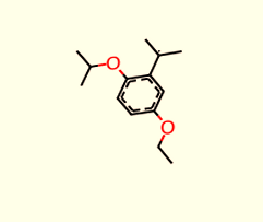 CCOc1ccc(OC(C)C)c([C](C)C)c1